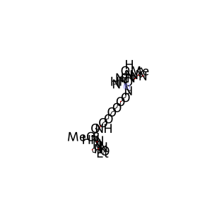 CC[C@@H]1C(=O)N(C)c2cnc(Nc3ccc(C(=O)NCCOCCOCCOCCOCCOCCOCCN(C)C/C=C/C(=O)Nc4cc(Nc5nccc(-c6cn(C)c7ccccc67)n5)c(OC)cc4N(C)CCN(C)C)cc3OC)nc2N1C1CCCC1